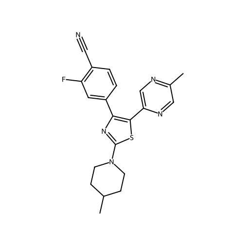 Cc1cnc(-c2sc(N3CCC(C)CC3)nc2-c2ccc(C#N)c(F)c2)cn1